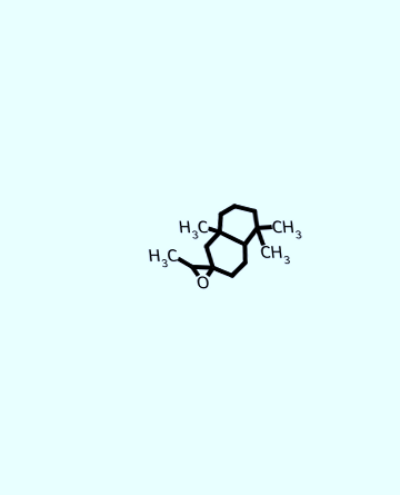 CC1OC12CCC1C(C)(C)CCCC1(C)C2